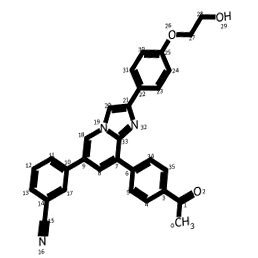 CC(=O)c1ccc(-c2cc(-c3cccc(C#N)c3)cn3cc(-c4ccc(OCCO)cc4)nc23)cc1